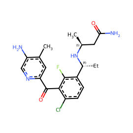 CC[C@@H](N[C@@H](C)CC(N)=O)c1ccc(Cl)c(C(=O)c2cc(C)c(N)cn2)c1F